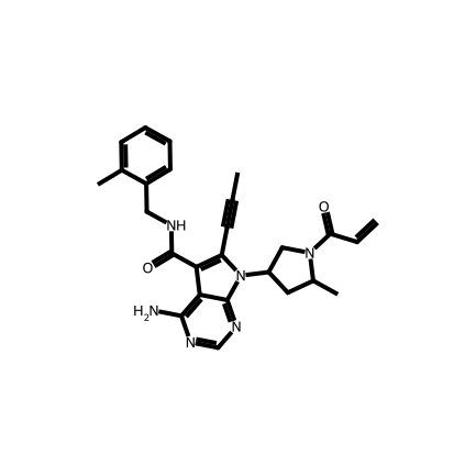 C=CC(=O)N1CC(n2c(C#CC)c(C(=O)NCc3ccccc3C)c3c(N)ncnc32)CC1C